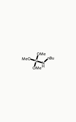 CCCCN[Si](OC)(OC)OC